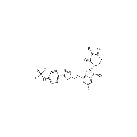 O=C1CCC(N2Cc3c(CCc4cn(-c5ccc(OC(F)(F)F)cc5)nn4)cc(F)cc3C2=O)C(=O)N1F